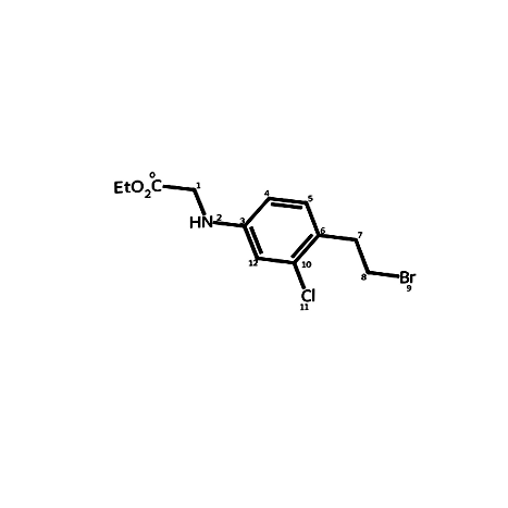 CCOC(=O)CNc1ccc(CCBr)c(Cl)c1